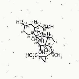 C[C@H](C1CC1C(=O)O)[C@H]1CC[C@H]2[C@@H]3[C@H](O)C[C@@H]4C[C@H](O)CC[C@]4(C)[C@H]3C[C@H](O)[C@]12C